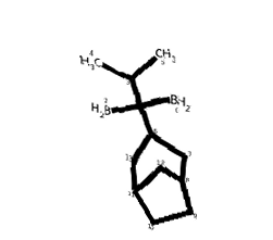 BC(B)(C(C)C)C1CC2CCC(C2)C1